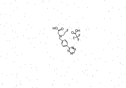 O=C(O)C(F)(F)F.O=C(O)CN(CCF)Cc1ccc(-c2nncnn2)cc1